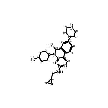 OC1CCC(N2c3nc(NCC4CC4)ncc3-c3ccc(N4CCNCC4)cc3C2O)CC1